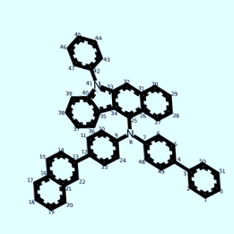 c1ccc(-c2ccc(N(c3ccc(-c4ccc5ccccc5c4)cc3)c3c4ccccc4cc4c3c3ccccc3n4-c3ccccc3)cc2)cc1